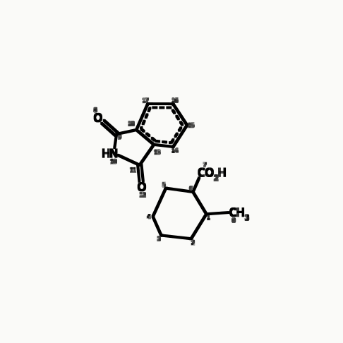 CC1CCCCC1C(=O)O.O=C1NC(=O)c2ccccc21